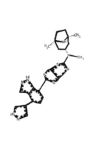 CN(c1nc2sc(-c3ccc(-c4cn[nH]c4)c4cn[nH]c34)nc2s1)[C@H]1C[C@]2(C)CC[C@](C)(C1)N2